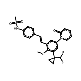 COc1c(C=Cc2ccc(NS(C)(=O)=O)cc2)cc(-n2ccccc2=O)cc1C1(C(F)F)CC1